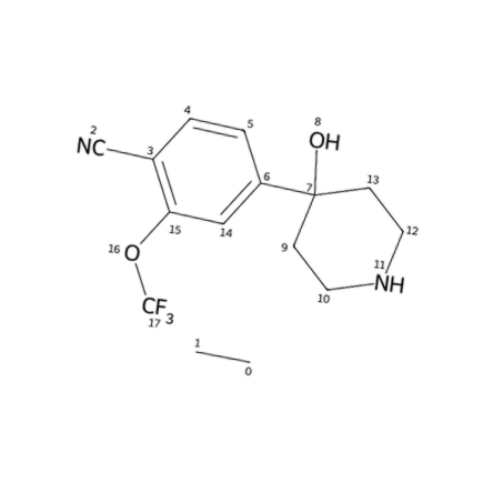 CC.N#Cc1ccc(C2(O)CCNCC2)cc1OC(F)(F)F